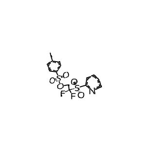 Cc1ccc(S(=O)(=O)OCC(F)(F)S(=O)(=O)c2ccccn2)cc1